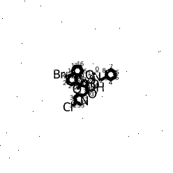 CN(Cc1ccccc1)S(=O)(=O)C1C(c2ccccc2)C2(c3ccc(Br)cc3)Oc3cc(Cl)cnc3C(=O)C12O